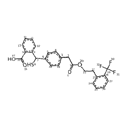 O=C(Cc1ccc(C(S)c2ccccc2C(=O)O)cc1)OCCc1ccccc1C(F)(F)F